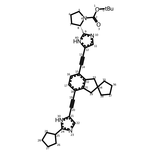 CC(C)(C)OC(=O)N1CCC[C@H]1c1ncc(C#Cc2ccc(C#Cc3cnc(C4CCCC4)[nH]3)c3c2CC2(CCCC2)C3)[nH]1